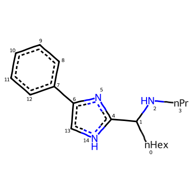 CCCCCCC(NCCC)c1nc(-c2ccccc2)c[nH]1